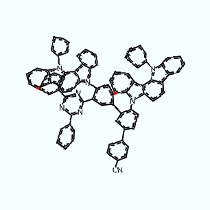 N#Cc1ccc(-c2ccc(-n3c4ccccc4c4c3ccc3c5ccccc5n(-c5ccccc5)c34)c(-c3ccc(-n4c5ccccc5c5c4ccc4c6ccccc6n(-c6ccccc6)c45)c(-c4nc(-c5ccccc5)nc(-c5ccccc5)n4)c3)c2)cc1